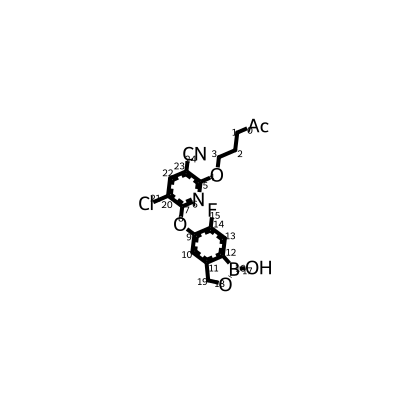 CC(=O)CCCOc1nc(Oc2cc3c(cc2F)B(O)OC3)c(Cl)cc1C#N